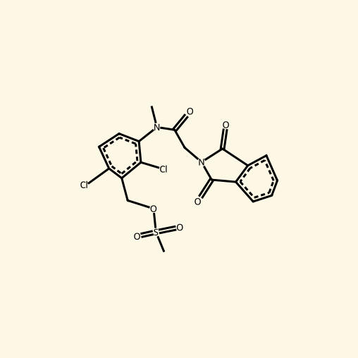 CN(C(=O)CN1C(=O)c2ccccc2C1=O)c1ccc(Cl)c(COS(C)(=O)=O)c1Cl